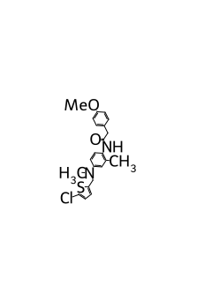 COc1ccc(CC(=O)Nc2ccc(N(C)Cc3ccc(Cl)s3)cc2C)cc1